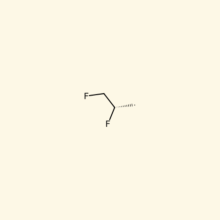 [CH2][C@H](F)CF